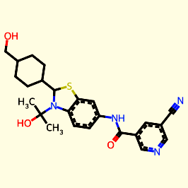 CC(C)(O)N1c2ccc(NC(=O)c3cncc(C#N)c3)cc2SC1C1CCC(CO)CC1